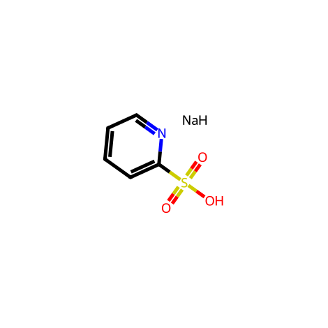 O=S(=O)(O)c1ccccn1.[NaH]